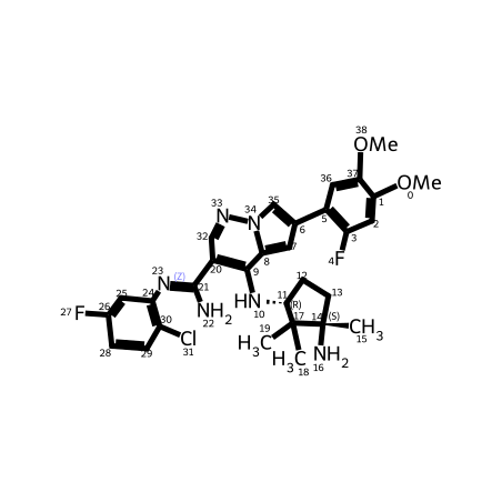 COc1cc(F)c(-c2cc3c(N[C@@H]4CC[C@](C)(N)C4(C)C)c(/C(N)=N/c4cc(F)ccc4Cl)cnn3c2)cc1OC